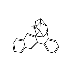 OC1(c2cc3ccccc3cc2-c2ccccc2Cl)C2CC3CC(C2)C1C3